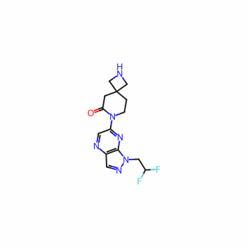 O=C1CC2(CCN1c1cnc3cnn(CC(F)F)c3n1)CNC2